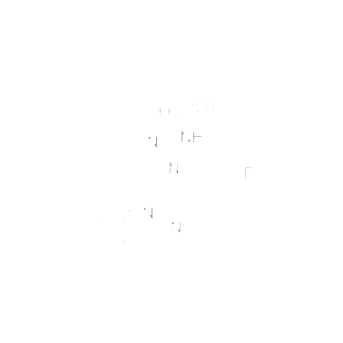 O=C(O)Nc1nccc(-c2c(-c3ccc(F)cc3)ncn2C23CC4CC(CC(C4)C2)C3)n1